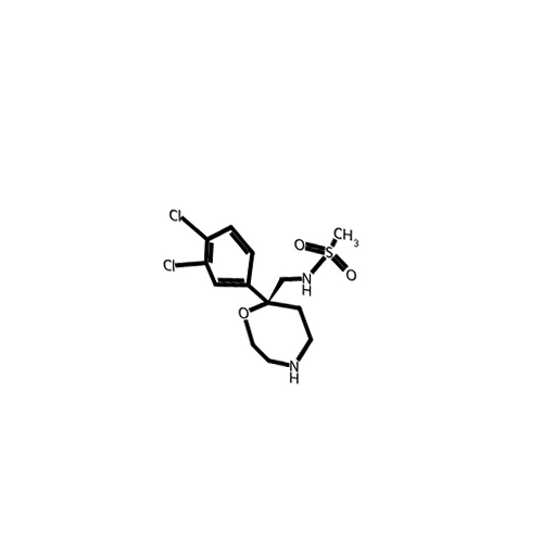 CS(=O)(=O)NC[C@@]1(c2ccc(Cl)c(Cl)c2)CCNCCO1